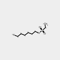 CCS(=O)(=O)OCCCCCCF